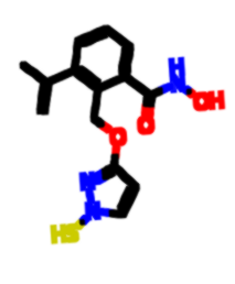 C=C(C)c1cccc(C(=O)NO)c1COc1ccn(S)n1